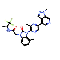 Cc1nc(-c2cncc3c2cnn3C)cnc1-n1c(=O)n(CC(=O)N[C@@H](C)C(F)(F)F)c2cccc(C)c21